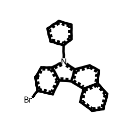 Brc1ccc2c(c1)c1c3ccccc3ccc1n2-c1ccccc1